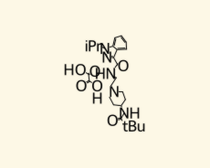 CC(C)n1nc(C(=O)NCCN2CCC(NC(=O)C(C)(C)C)CC2)c2ccccc21.O=C(O)C(=O)O